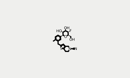 Cc1ccc([C@@H]2O[C@H](CO)[C@@H](F)[C@H](O)[C@H]2O)cc1Cc1cc2c(s1)CCN(C#N)C2